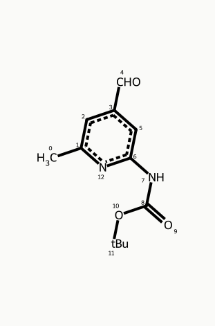 Cc1cc(C=O)cc(NC(=O)OC(C)(C)C)n1